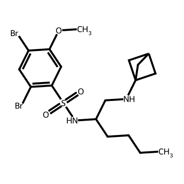 CCCCC(CNC12CC(C1)C2)NS(=O)(=O)c1cc(OC)c(Br)cc1Br